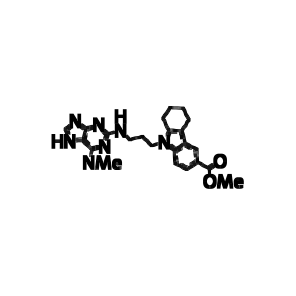 CNc1nc(NCCCn2c3c(c4cc(C(=O)OC)ccc42)CCCC3)nc2nc[nH]c12